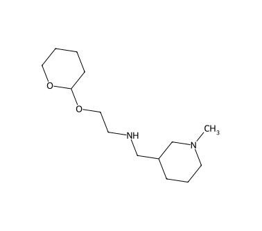 CN1CCCC(CNCCOC2CCCCO2)C1